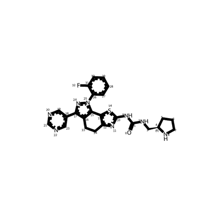 O=C(NC[C@H]1CCCN1)Nc1nc2c(s1)-c1c(c(-c3cncnc3)nn1-c1ccccc1F)CC2